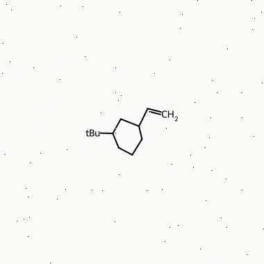 C=CC1CCC[C](C(C)(C)C)C1